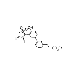 CCOC(=O)CCc1cccc(-c2ccc(O)c(N3N(I)C(=O)CS3(=O)=O)c2)c1